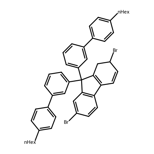 CCCCCCc1ccc(-c2cccc(C3(c4cccc(-c5ccc(CCCCCC)cc5)c4)C4=C(C=CC(Br)C4)c4ccc(Br)cc43)c2)cc1